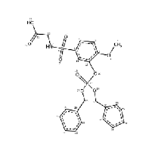 COc1ccc(S(=O)(=O)NCC(=O)O)cc1OP(=O)(OCc1ccccc1)OCc1ccccc1